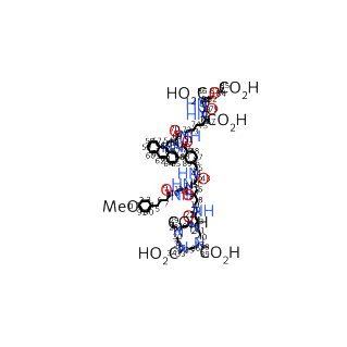 COc1ccc(CCCC(=O)NCC(=O)N[C@@H](CCCCNC(=O)CN2CCN(CC(=O)O)CCN(CC(=O)O)CCN(CC(=O)O)CC2)C(=O)NCC2CCC(C(=O)N[C@@H](Cc3c4ccccc4cc4ccccc34)C(=O)NCCCC[C@H](NC(=O)N[C@@H](COCC(=O)O)C(=O)O)C(=O)O)CC2)cc1